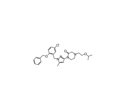 Cc1cc(N2CCN(CCOC(C)C)CC2=O)nn1Cc1cc(Cl)ccc1OCc1ccccc1